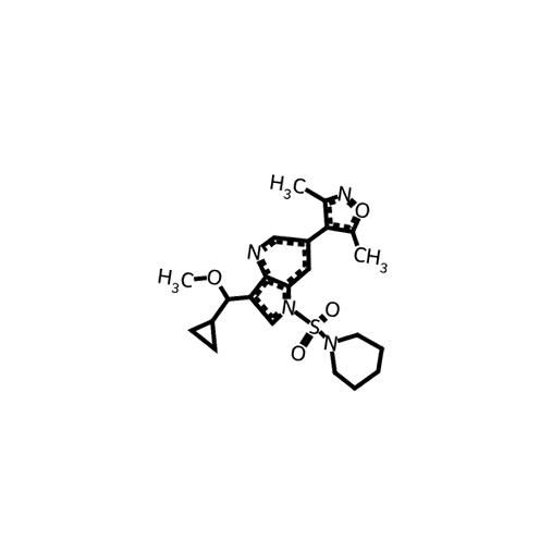 COC(c1cn(S(=O)(=O)N2CCCCC2)c2cc(-c3c(C)noc3C)cnc12)C1CC1